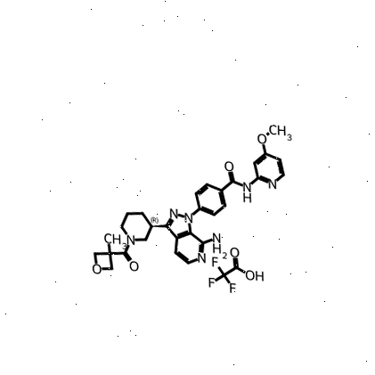 COc1ccnc(NC(=O)c2ccc(-n3nc([C@@H]4CCCN(C(=O)C5(C)COC5)C4)c4ccnc(N)c43)cc2)c1.O=C(O)C(F)(F)F